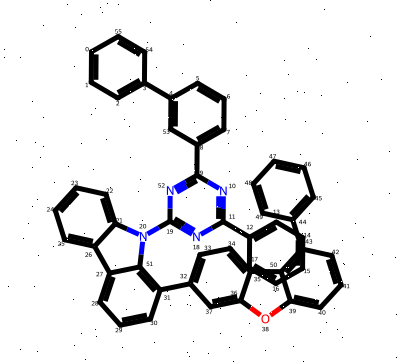 c1ccc(-c2cccc(-c3nc(-c4ccccc4)nc(-n4c5ccccc5c5cccc(-c6ccc7c(c6)oc6cccc(-c8ccccc8)c67)c54)n3)c2)cc1